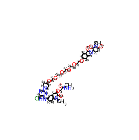 CNC(=O)COc1cc2cc(Nc3nc(N4CCC(OCCOCCOCCOCCOCCOc5ccc6c(c5)CN(C5CCC(=O)N(C)C5=O)C6=O)CC4)ncc3Cl)ccc2n(C)c1=O